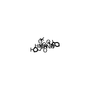 Cc1c(C(=O)NNC(=O)C(Cc2ccc(I)cc2)NC(=O)OC(C)(C)C)oc2ccccc12